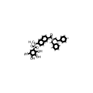 CC(C)c1cc(S(=O)(=O)N(C)c2ccc3cc(C(=O)N(CCc4ccccc4)Cc4ccccc4)ccc3c2)c(O)c(O)c1O